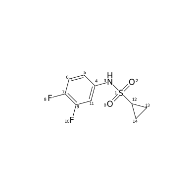 O=S(=O)(Nc1c[c]c(F)c(F)c1)C1CC1